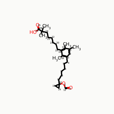 Cc1cc(CCCCCCC2(OC=O)CC2)c(C)c(CCCCCCC(C)(C)C(=O)O)c1C